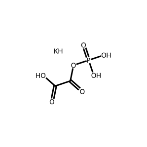 O=C(O)C(=O)OP(=O)(O)O.[KH]